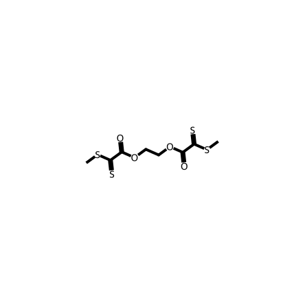 CSC(=S)C(=O)OCCOC(=O)C(=S)SC